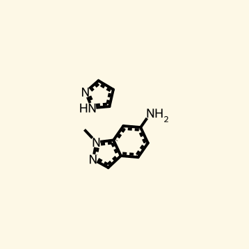 Cn1ncc2ccc(N)cc21.c1cn[nH]c1